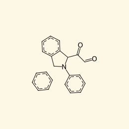 O=CC(=O)C1c2ccccc2CN1c1ccccc1.c1ccccc1